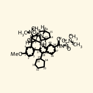 COc1ccc2c(c1)[C@@H]1C[C@]1(C(=O)N1[C@@H]3CC[C@H]1CN(C(=O)N(C)C)C3)Cn1c-2c(C2CCCCC2)c2ccc(C(=O)NS(=O)(=O)N(C)C)cc21